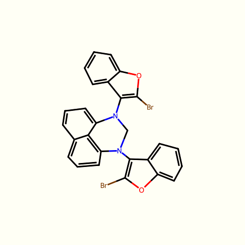 Brc1oc2ccccc2c1N1CN(c2c(Br)oc3ccccc23)c2cccc3cccc1c23